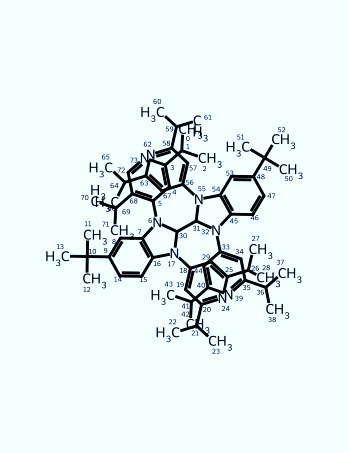 CC(C)c1cc(N2c3cc(C(C)(C)C)ccc3N(c3cc(C(C)C)nc(C(C)C)c3)C2C2N(c3cc(C(C)C)nc(C(C)C)c3)c3ccc(C(C)(C)C)cc3N2c2cc(C(C)C)nc(C(C)C)c2)c(C(C)C)cn1